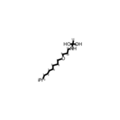 CC(C)CCCCCCCOCCCNC(C)(O)O